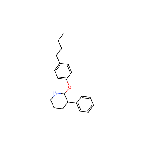 CCCCc1ccc(OC2NCCCC2c2cc[c]cc2)cc1